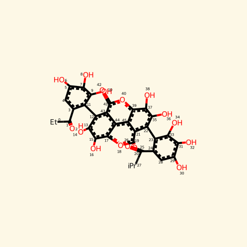 CCC(=O)c1cc(O)c(O)c(O)c1-c1c(O)c(O)c2oc(=O)c3c(-c4c(C(=O)C(C)C)cc(O)c(O)c4O)c(O)c(O)c4oc(=O)c1c2c43